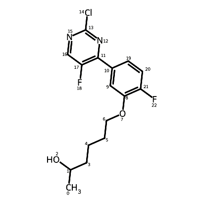 CC(O)CCCCOc1cc(-c2nc(Cl)ncc2F)ccc1F